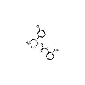 CCN(c1cccc(Cl)c1)C(C)OC(=O)Oc1ccccc1C